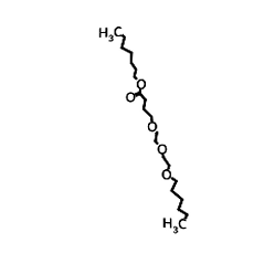 CCCCCCCOC(=O)CCCOCCOCCOCCCCCC